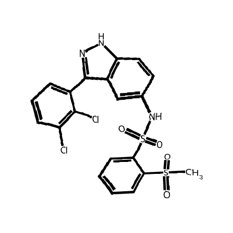 CS(=O)(=O)c1ccccc1S(=O)(=O)Nc1ccc2[nH]nc(-c3cccc(Cl)c3Cl)c2c1